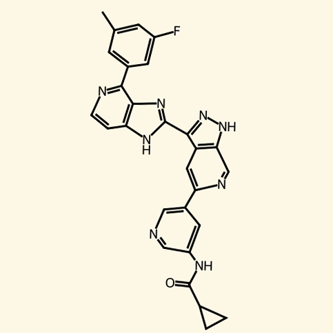 Cc1cc(F)cc(-c2nccc3[nH]c(-c4n[nH]c5cnc(-c6cncc(NC(=O)C7CC7)c6)cc45)nc23)c1